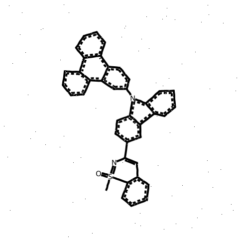 CS1(=O)=NC(c2ccc3c(c2)c2ccccc2n3-c2ccc3c4ccccc4c4ccccc4c3c2)=Cc2ccccc21